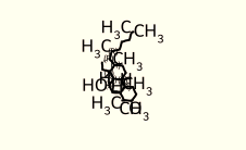 CC(C)CCC[C@@H](C)[C@H]1CC[C@H]2[C@@H]3[C@H](O)C=C4C(C)(C)C(=O)CC[C@]4(C)[C@H]3CC[C@]12C